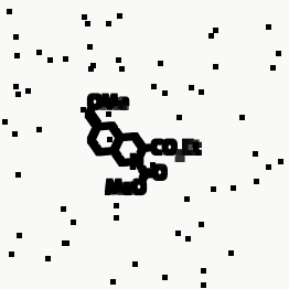 CCOC(=O)C1CC2CC(=COC)CCC2CN1C(=O)OC